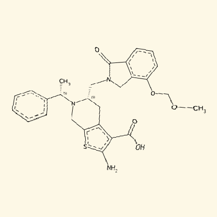 COCOc1cccc2c1CN(C[C@@H]1Cc3c(sc(N)c3C(=O)O)CN1[C@@H](C)c1ccccc1)C2=O